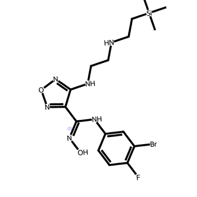 C[Si](C)(C)CCNCCNc1nonc1/C(=N/O)Nc1ccc(F)c(Br)c1